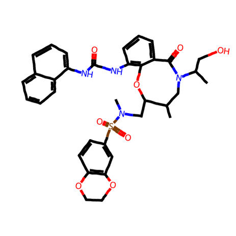 CC1CN(C(C)CO)C(=O)c2cccc(NC(=O)Nc3cccc4ccccc34)c2OC1CN(C)S(=O)(=O)c1ccc2c(c1)OCCO2